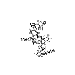 COC(=O)c1ccc(C(=O)Nc2cc(Cl)ccc2Cl)cc1N=Nc1c(O)c(C(=O)Nc2ccccc2OC)cc2ccccc12